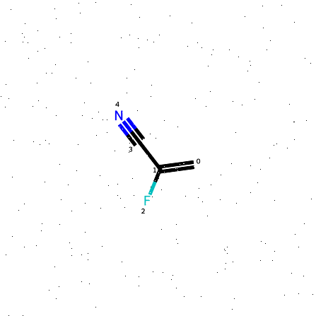 C=C(F)C#N